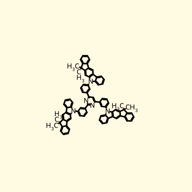 CC1(C)c2ccccc2-c2cc3c(cc21)c1ccccc1n3-c1cccc(-c2nc(-c3cccc(-n4c5ccccc5c5cc6c(cc54)C(C)(C)c4ccccc4-6)c3)cc(-c3cccc(-n4c5ccccc5c5cc6c(cc54)C(C)(C)c4ccccc4-6)c3)n2)c1